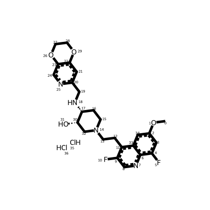 COc1cc(F)c2ncc(F)c(CCN3CC[C@@H](NCc4cc5c(cn4)OCCO5)[C@@H](O)C3)c2c1.Cl.Cl